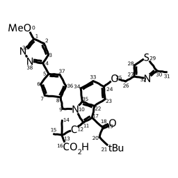 COc1ccc(-c2ccc(Cn3c(CC(C)(C)C(=O)O)c(C(=O)CC(C)(C)C)c4cc(OCc5csc(C)n5)ccc43)cc2)nn1